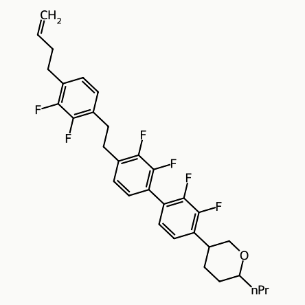 C=CCCc1ccc(CCc2ccc(-c3ccc(C4CCC(CCC)OC4)c(F)c3F)c(F)c2F)c(F)c1F